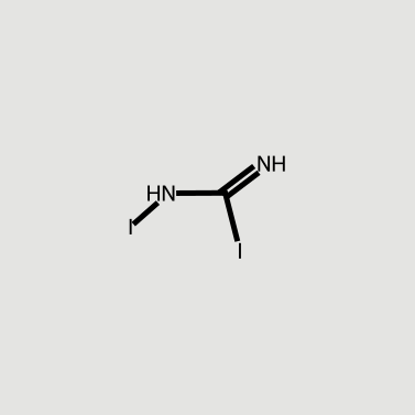 N=C(I)NI